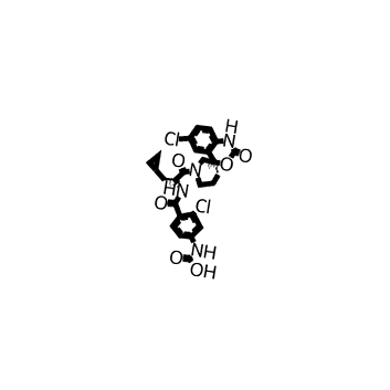 O=C(O)Nc1ccc(C(=O)N[C@@H](CC2CC2)C(=O)N2CCC[C@@]3(C2)OC(=O)Nc2ccc(Cl)cc23)c(Cl)c1